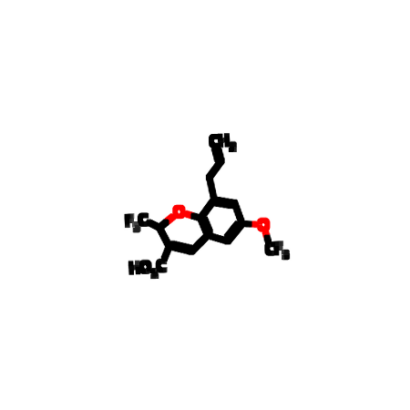 C=CCc1cc(OC(F)(F)F)cc2c1OC(C(F)(F)F)C(C(=O)O)=C2